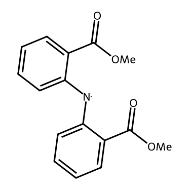 COC(=O)c1ccccc1[N]c1ccccc1C(=O)OC